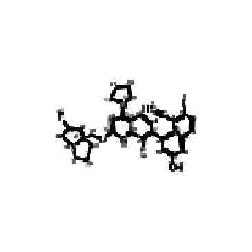 C#Cc1c(F)ccc2cc(O)cc(-c3ccc4c(N5CCCC5)nc(OCC56CCCN5CC(F)C6)nc4c3F)c12